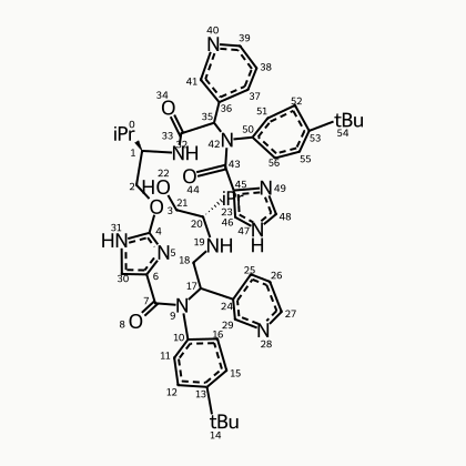 CC(C)[C@H](COc1nc(C(=O)N(c2ccc(C(C)(C)C)cc2)C(CN[C@H](CO)C(C)C)c2cccnc2)c[nH]1)NC(=O)C(c1cccnc1)N(C(=O)c1c[nH]cn1)c1ccc(C(C)(C)C)cc1